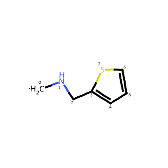 [CH2]NCc1cccs1